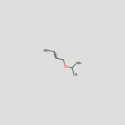 CCCC/C=C/COC(C#N)CCCC